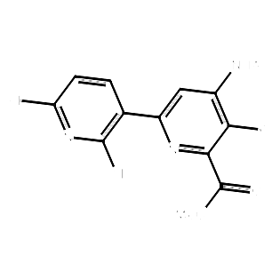 COC(=O)c1nc(-c2ccc(Cl)nc2Cl)cc(NC(C)=O)c1Cl